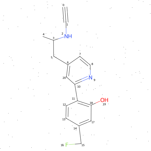 C#CNC(C)Cc1ccnc(-c2ccc(CF)cc2O)c1